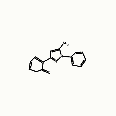 Nc1cc(C2=CC=CCC2=S)nn1-c1ccccc1